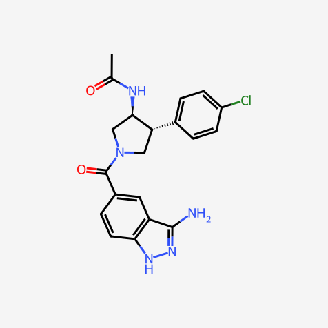 CC(=O)N[C@@H]1CN(C(=O)c2ccc3[nH]nc(N)c3c2)C[C@H]1c1ccc(Cl)cc1